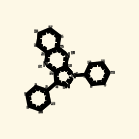 c1ccc(-c2nn(-c3ccccc3)c3nc4ccccc4nc23)cc1